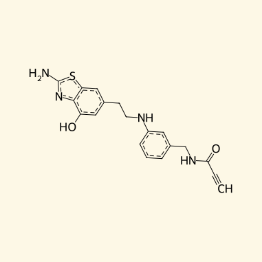 C#CC(=O)NCc1cccc(NCCc2cc(O)c3nc(N)sc3c2)c1